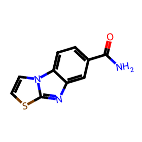 NC(=O)c1ccc2c(c1)nc1sccn12